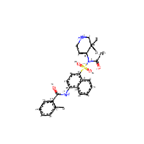 CCCC(=O)N(C1CCNCC1(C)C)S(=O)(=O)c1ccc(NC(=O)c2ccccc2C)c2ccccc12